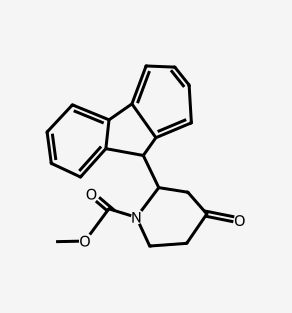 COC(=O)N1CCC(=O)CC1C1c2ccccc2-c2ccccc21